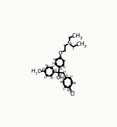 CCN(CC)CCOc1ccc(C(O)(Cc2ccc(Cl)cc2)c2ccc(C)cc2)cc1